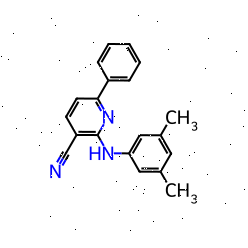 Cc1cc(C)cc(Nc2nc(-c3ccccc3)ccc2C#N)c1